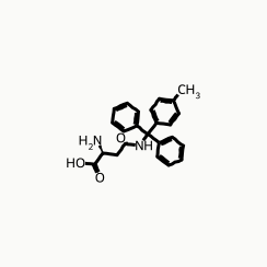 Cc1ccc(C(NC(=O)C[C@H](N)C(=O)O)(c2ccccc2)c2ccccc2)cc1